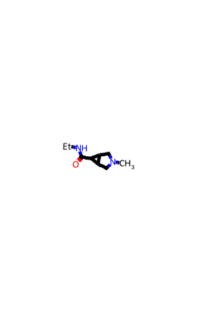 CCNC(=O)C1C2CN(C)CC21